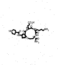 NCCCCC1NC(=O)C(CCC(=O)O)NC(=O)c2cc(NC(=O)C3CCNCC3)ccc2OCC[C@@H](C(N)=O)NC1=O